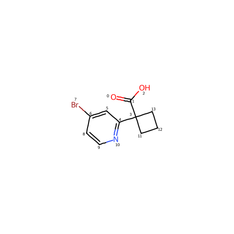 O=C(O)C1(c2cc(Br)ccn2)CCC1